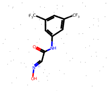 O=C(/C=N/O)Nc1cc(C(F)(F)F)cc(C(F)(F)F)c1